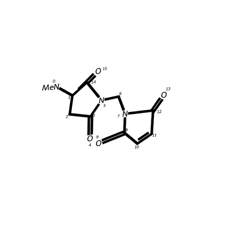 CNC1CC(=O)N(CN2C(=O)C=CC2=O)C1=O